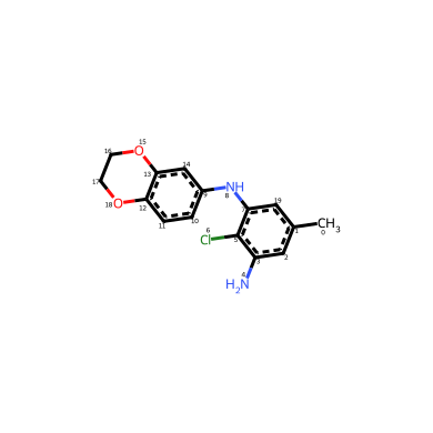 Cc1cc(N)c(Cl)c(Nc2ccc3c(c2)OCCO3)c1